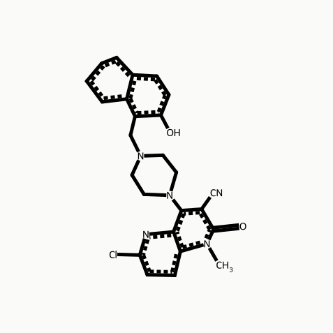 Cn1c(=O)c(C#N)c(N2CCN(Cc3c(O)ccc4ccccc34)CC2)c2nc(Cl)ccc21